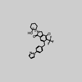 O=C1c2cc(Cc3ccc(-n4cccn4)cc3)c(C(F)(F)F)c(Cl)c2CN1[C@H]1CCCC[C@@H]1O